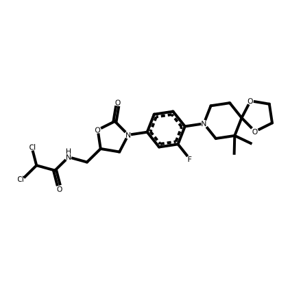 CC1(C)CN(c2ccc(N3CC(CNC(=O)C(Cl)Cl)OC3=O)cc2F)CCC12OCCO2